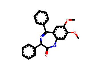 COc1cc2c(cc1OC)C(c1ccccc1)=NC(c1ccccc1)C(=O)N2